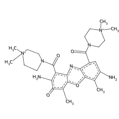 Cc1c2oc3c(C)c(N)cc(C(=O)N4CC[N+](C)(C)CC4)c3nc-2c(C(=O)N2CC[N+](C)(C)CC2)c(N)c1=O